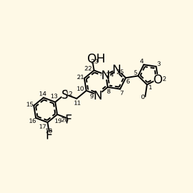 Cc1occc1-c1cc2nc(CSc3cccc(F)c3F)cc(O)n2n1